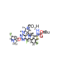 C[C@@H]1[C@H](N(C)c2nc(OC[C@@]34CCCN3C[C@H](F)C4)nc3c(F)c(-c4ccc(F)c5sc(NC(=O)OC(C)(C)C)c(C#N)c45)ncc23)CCN1C(=O)O